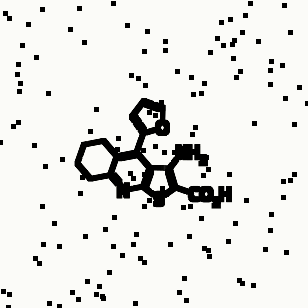 Nc1c(C(=O)O)sc2nc3c(c(-c4ccco4)c12)CCCC3